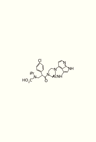 CC(=O)Nc1c[nH]c2nccc(N3CCN(C(=O)C(CN(C(=O)O)C(C)C)c4ccc(Cl)cc4)CC3)c12